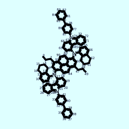 CCCc1cc(N(c2cccc3c2CCCC3)c2cccc3c2c2ccccc2n3-c2ccc(-c3ccccc3)cc2)c2ccc3c(CCC)cc(N(c4cccc5c4CCCC5)c4cccc5c4c4ccccc4n5-c4ccc(-c5ccccc5)cc4)c4ccc1c2c34